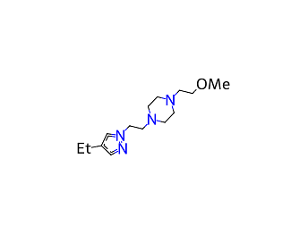 CCc1cnn(CCN2CCN(CCOC)CC2)c1